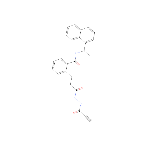 C#CC(=O)NNC(=O)CCc1ccccc1C(=O)NC(C)c1cccc2ccccc12